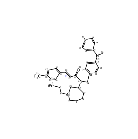 CC(C)CCN1CCCCC(N(Cc2ccc(N(C)c3ccncc3)cc2)C(=O)/C=C/c2ccc(C(F)(F)F)cc2)C1